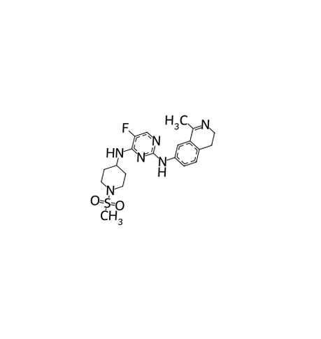 CC1=NCCc2ccc(Nc3ncc(F)c(NC4CCN(S(C)(=O)=O)CC4)n3)cc21